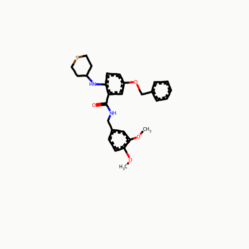 COc1ccc(CNC(=O)c2cc(OCc3ccccc3)ccc2NC2CCSCC2)cc1OC